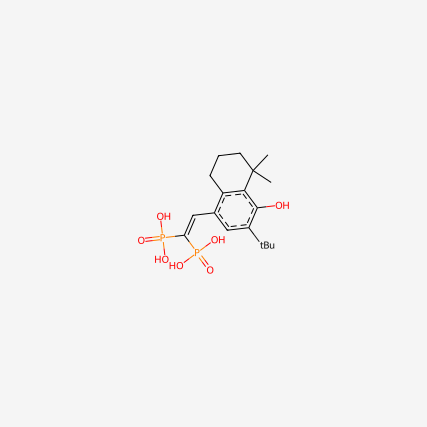 CC(C)(C)c1cc(C=C(P(=O)(O)O)P(=O)(O)O)c2c(c1O)C(C)(C)CCC2